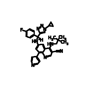 [2H]C(Nc1cc(-c2ccncc2)c2ncc(C#N)c(NCC(C)(C)C)c2c1)(c1ccc(F)cc1)c1cn(C2CC2)nn1